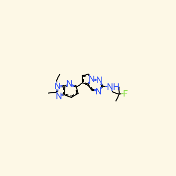 CCn1c(C)nc2ccc(-c3ccn4nc(NCC(C)(C)F)ncc34)nc21